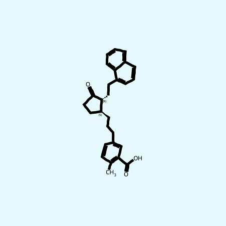 Cc1ccc(CCC[C@H]2CCC(=O)[C@@H]2CCc2cccc3ccccc23)cc1C(=O)O